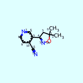 CC1(C)CC(c2[c]nccc2C#N)=NO1